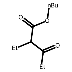 CCCCOC(=O)C(CC)C(=O)CC